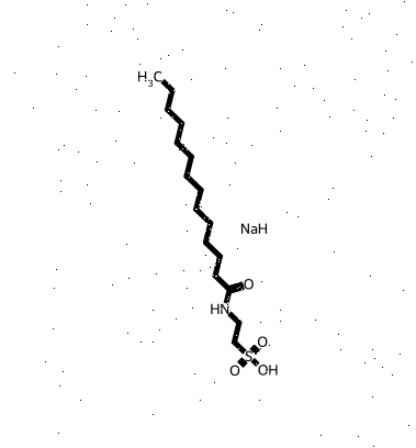 CCCCCCCCCCCCCC(=O)NCCS(=O)(=O)O.[NaH]